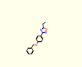 CCc1nc(-c2ccc(OCc3ccccc3)cc2)no1